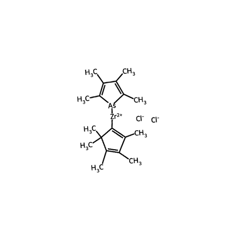 CC1=C(C)[As]([Zr+2][C]2=C(C)C(C)=C(C)C2(C)C)C(C)=C1C.[Cl-].[Cl-]